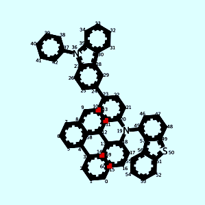 c1ccc(-c2cccc3cccc(-c4ccccc4N(c4ccc(-c5ccc6c(c5)c5ccccc5n6-c5ccccc5)cc4)c4cccc5sc6ccccc6c45)c23)cc1